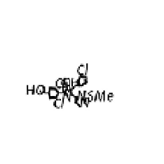 CSc1nccc(-c2nc(-c3c(Cl)cc(CO)cc3Cl)n(O)c2-c2cccc(Cl)c2)n1